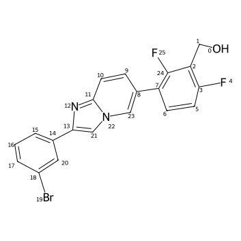 OCc1c(F)ccc(-c2ccc3nc(-c4cccc(Br)c4)cn3c2)c1F